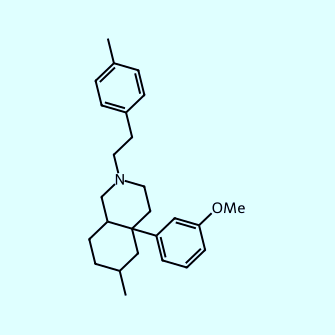 COc1cccc(C23CCN(CCc4ccc(C)cc4)CC2CCC(C)C3)c1